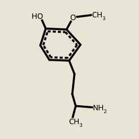 COc1cc(CCC(C)N)ccc1O